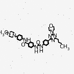 CCCCc1nc(-c2ccc(NC(=O)Nc3ccc(C(=O)Nc4ccc(N5CCN(C)CC5)cc4)cc3)cc2)nc(N2CCOCC2)n1